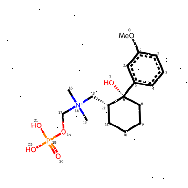 COc1cccc([C@@]2(O)CCCC[C@@H]2C[N+](C)(C)COP(=O)(O)O)c1